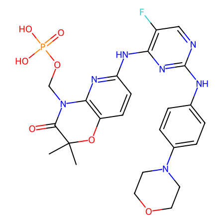 CC1(C)Oc2ccc(Nc3nc(Nc4ccc(N5CCOCC5)cc4)ncc3F)nc2N(COP(=O)(O)O)C1=O